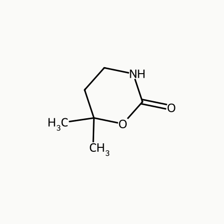 CC1(C)CCNC(=O)O1